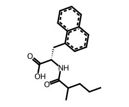 CCCC(C)C(=O)N[C@@H](Cc1cccc2ccccc12)C(=O)O